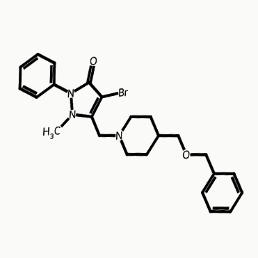 Cn1c(CN2CCC(COCc3ccccc3)CC2)c(Br)c(=O)n1-c1ccccc1